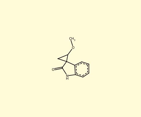 COC1CC12C(=O)Nc1ccccc12